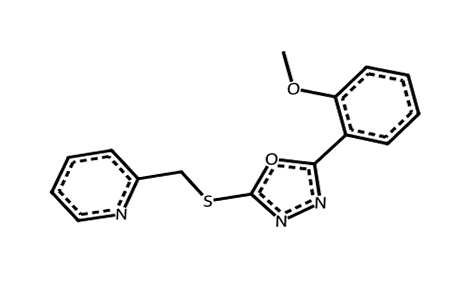 COc1ccccc1-c1nnc(SCc2ccccn2)o1